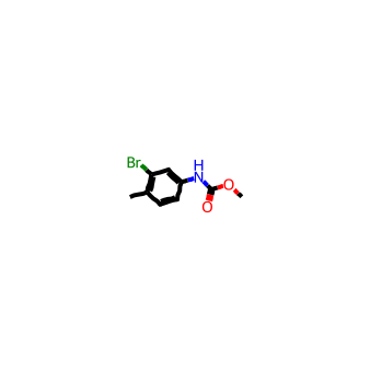 COC(=O)Nc1ccc(C)c(Br)c1